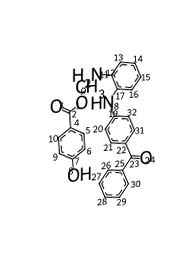 COC(=O)c1ccc(O)cc1.Nc1ccccc1Nc1ccc(C(=O)c2ccccc2)cc1